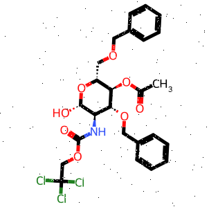 CC(=O)O[C@H]1[C@H](OCc2ccccc2)[C@@H](NC(=O)OCC(Cl)(Cl)Cl)[C@H](O)O[C@@H]1COCc1ccccc1